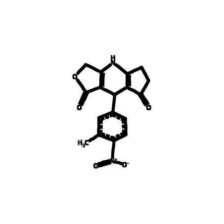 Cc1cc(C2C3=C(CCC3=O)NC3=C2C(=O)OC3)ccc1[N+](=O)[O-]